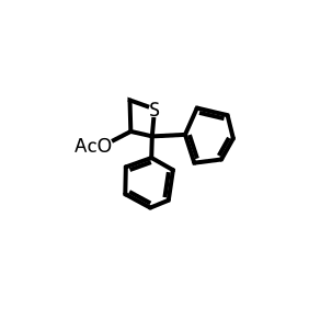 CC(=O)OC1CSC1(c1ccccc1)c1ccccc1